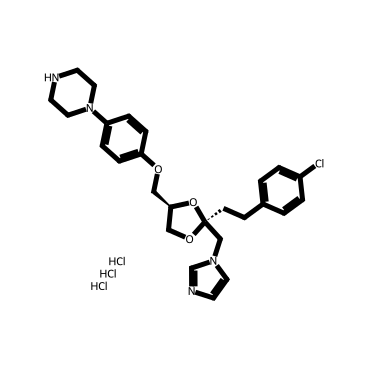 Cl.Cl.Cl.Clc1ccc(CC[C@]2(Cn3ccnc3)OC[C@@H](COc3ccc(N4CCNCC4)cc3)O2)cc1